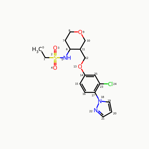 CCS(=O)(=O)NC1CCOCC1COc1ccc(-n2cccn2)c(Cl)c1